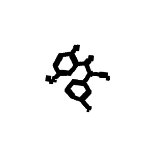 Cc1ccc(Cl)c(C(=O)N(C)c2cccc(F)c2)c1